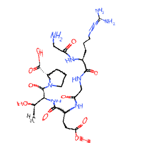 C[C@@H](O)[C@H](NC(=O)[C@H](CC(=O)O)NC(=O)CNC(=O)[C@H](CCCN=C(N)N)NC(=O)CN)C(=O)N1CCC[C@H]1C(=O)O